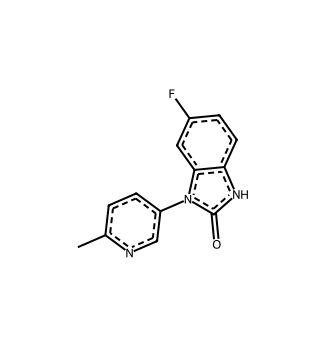 Cc1ccc(-n2c(=O)[nH]c3ccc(F)cc32)cn1